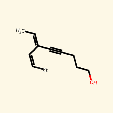 C/C=C(C#CCCCO)\C=C/CC